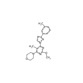 COc1nc(N2CCOCC2)c(C)c(-n2ccc(-c3cccc(C)c3)n2)n1